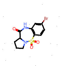 O=C1Nc2cc(Br)ccc2S(=O)(=O)N2CCCC12